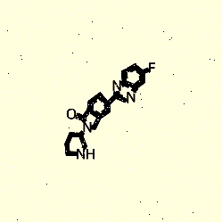 O=C1c2ccc(-c3cnc4cc(F)ccc4n3)cc2CN1C1CCCNC1